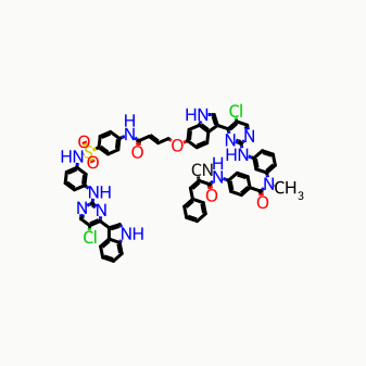 CN(C(=O)c1ccc(NC(=O)/C(C#N)=C\c2ccccc2)cc1)c1cccc(Nc2ncc(Cl)c(-c3c[nH]c4cc(OC/C=C/C(=O)Nc5ccc(S(=O)(=O)Nc6cccc(Nc7ncc(Cl)c(-c8c[nH]c9ccccc89)n7)c6)cc5)ccc34)n2)c1